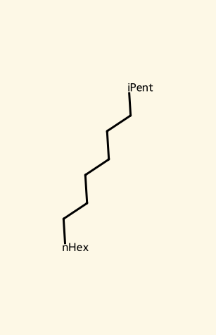 [CH2]CCCCCCCCCCCC(C)CCC